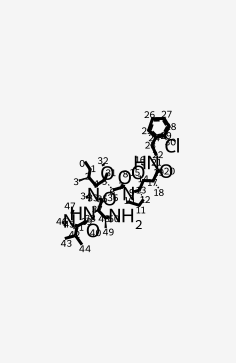 CC[C@H](C)[C@@H]([C@@H](CC(=O)N1CCC[C@H]1[C@H](OC)[C@@H](C)C(=O)NCCc1ccccc1Cl)OC)N(C)C(=O)[C@H](NC(=O)C(C(C)C)N(C)C)[C@H](C)N